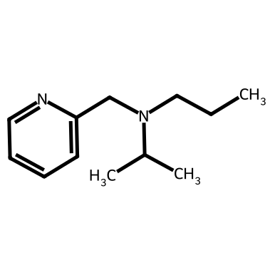 CCCN(Cc1ccccn1)C(C)C